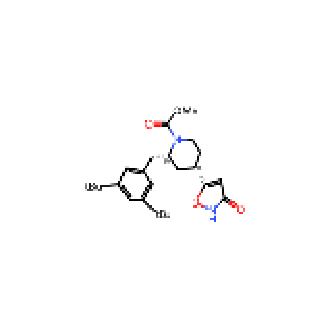 COC(=O)N1CC[C@H](c2cc(=O)[nH]o2)C[C@@H]1Cc1cc(C(C)(C)C)cc(C(C)(C)C)c1